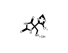 Cl.NCC1(c2ncsc2C(F)(F)F)NC(=O)NC1=O